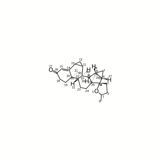 CC1CC[C@]2(O1)[C@H]1C[C@H]1[C@H]1[C@@H]3C4CC4C4=CC(=O)CC[C@]4(C)[C@H]3CC[C@@]12C